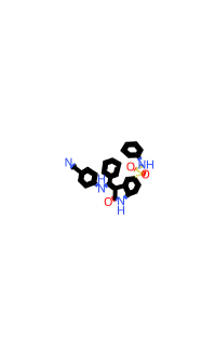 N#Cc1ccc(N/C(=C2\C(=O)Nc3ccc(S(=O)(=O)Nc4ccccc4)cc32)c2ccccc2)cc1